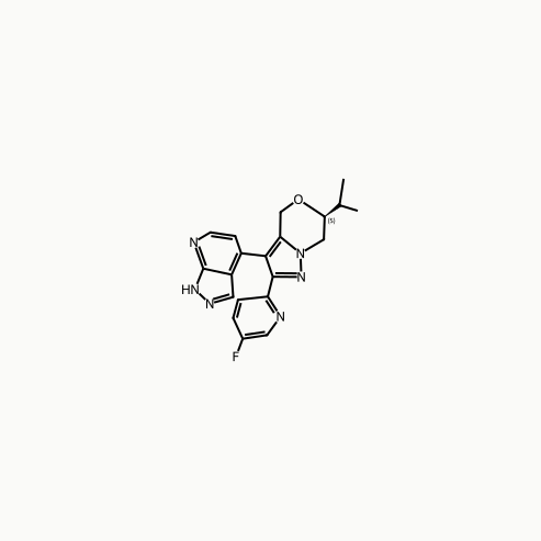 CC(C)[C@H]1Cn2nc(-c3ccc(F)cn3)c(-c3ccnc4[nH]ncc34)c2CO1